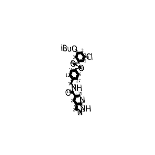 CC(C)COc1cc(Cl)cc(S(=O)(=O)c2ccc(CNC(=O)c3cnc4[nH]ncc4c3)cc2)c1